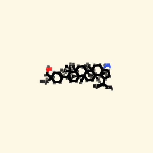 C=C(C)[C@@H]1CC[C@]2(N)CC[C@]3(C)[C@H](CC[C@@H]4[C@@]5(C)CC=C(C6=CCC(CO)(C(=O)O)CC6)C(C)(C)[C@@H]5CC[C@]43C)[C@@H]12